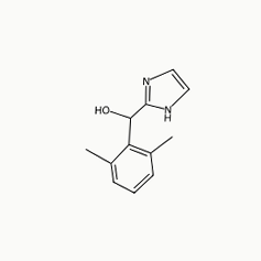 Cc1cccc(C)c1C(O)c1ncc[nH]1